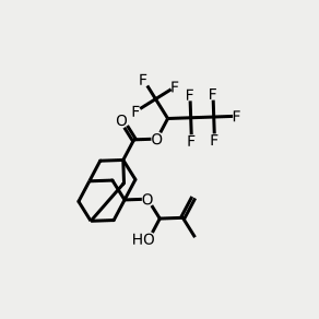 C=C(C)C(O)OC12CC3CC(C1)CC(C(=O)OC(C(F)(F)F)C(F)(F)C(F)(F)F)(C3)C2